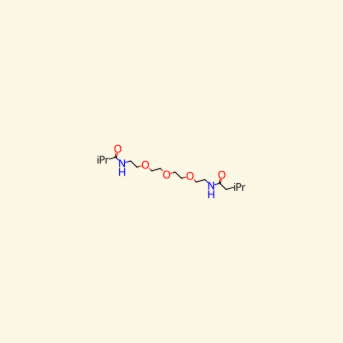 CC(C)CC(=O)NCCOCCOCCOCCNC(=O)C(C)C